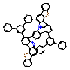 c1ccc(-c2cc(-c3ccccc3)cc(-c3ccc4c5c6sc7ccccc7c6ccc5n5c6cc7c8c(-c9cc(-c%10ccccc%10)cc(-c%10ccccc%10)c9)ccc9c%10c%11sc%12ccccc%12c%11ccc%10n(c7cc6c3c45)c98)c2)cc1